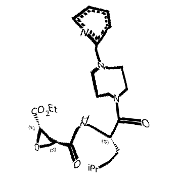 CCOC(=O)[C@H]1O[C@@H]1C(=O)N[C@@H](CC(C)C)C(=O)N1CCN(c2ccccn2)CC1